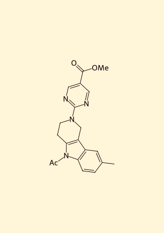 COC(=O)c1cnc(N2CCc3c(c4cc(C)ccc4n3C(C)=O)C2)nc1